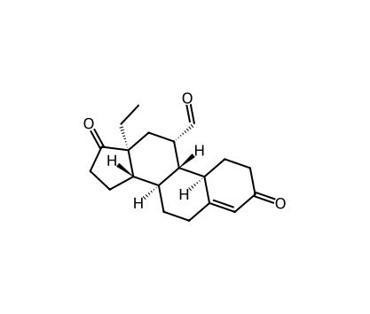 CC[C@]12C[C@H](C=O)[C@H]3[C@@H](CCC4=CC(=O)CC[C@@H]43)[C@@H]1CCC2=O